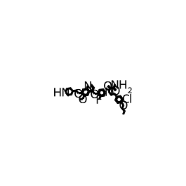 CCCOc1ccc(CCN(C(=O)C(N)=O)c2ccc(Oc3ccnc4cc(OCC5CCNCC5)c(OC)cc34)c(F)c2)cc1Cl